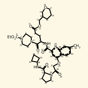 CCOC(=O)N1CCN(C(=O)C(CCC(=O)OCC2CCCOC2)NC(=O)c2cc(OCC(=O)N3CCCC3C(=O)NC3CCC3)c3ccc(C)cc3n2)CC1